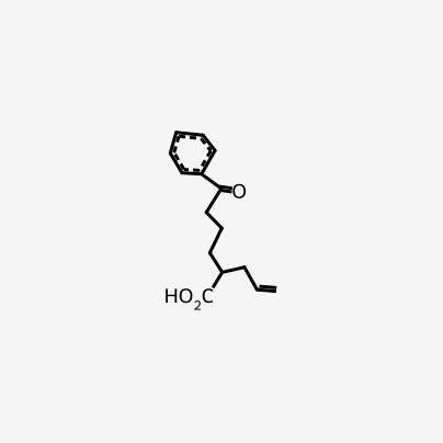 C=CCC(CCCC(=O)c1ccccc1)C(=O)O